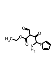 CCOC(=O)C(C=O)C(=O)C(N)n1cccc1